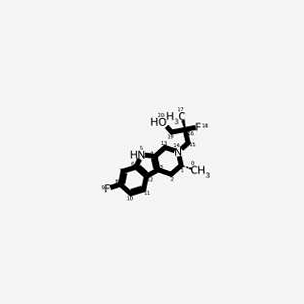 C[C@@H]1Cc2c([nH]c3cc(F)ccc23)CN1C[C@@](C)(F)CO